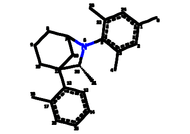 Cc1cc(C)c(N2C3CCCC(c4ccccc4C)(C3)[C@H]2C)c(C)c1